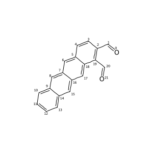 O=Cc1ccc2cc3cc4ccccc4cc3cc2c1C=O